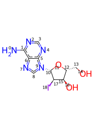 Nc1ncnc2c1ncn2[C@@H]1O[C@H](CO)[C@@H](O)[C@H]1I